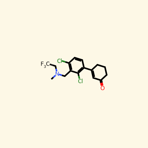 CN(Cc1c(Cl)ccc(C2=CC(=O)CCC2)c1Cl)CC(F)(F)F